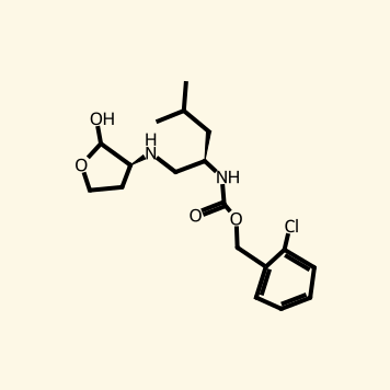 CC(C)C[C@H](CN[C@H]1CCOC1O)NC(=O)OCc1ccccc1Cl